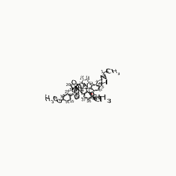 CCNCc1ccc(OC)c(C2(N3CCC[C@H]3c3ncco3)C(=O)N(S(=O)(=O)c3ccc(OC)cc3)c3ccc(Cl)cc32)c1